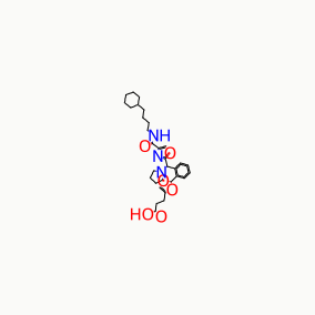 O=C(O)CCC1=COC(c2ccccc2C(c2nc(C(=O)NCCCCC3CCCCC3)co2)N2CCCC2)O1